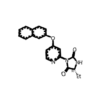 CC[C@H]1NC(=O)N(c2cc(Oc3ccc4ccccc4c3)ccn2)C1=O